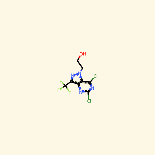 OCCn1nc(C(F)(F)F)c2nc(Cl)nc(Cl)c21